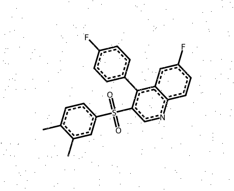 Cc1ccc(S(=O)(=O)c2cnc3ccc(F)cc3c2-c2ccc(F)cc2)cc1C